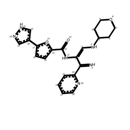 N=C(/C(=C\NC1CCOCC1)NC(=O)c1ccc(-c2cn[nH]c2)o1)c1ccccn1